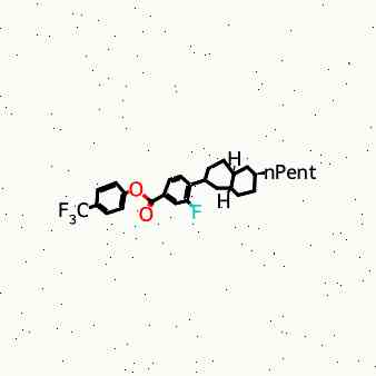 CCCCC[C@H]1CC[C@@H]2CC(c3ccc(C(=O)Oc4ccc(C(F)(F)F)cc4)cc3F)CC[C@H]2C1